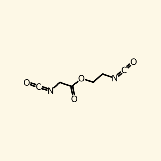 O=C=NCCOC(=O)CN=C=O